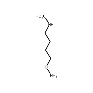 NOCCCCNC(=O)O